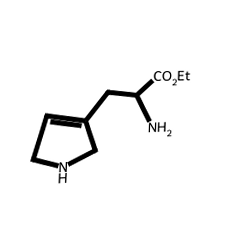 CCOC(=O)C(N)CC1=CCNC1